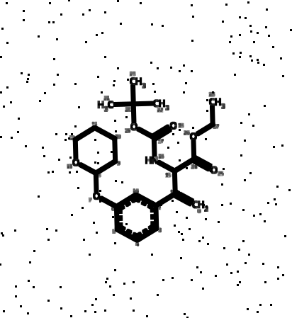 C=C(c1cccc(OC2CCCCO2)c1)C(NC(=O)OC(C)(C)C)C(=O)OCC